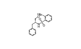 O=S(=O)(N[C@H](CO)Cc1ccccc1)c1ccccc1Br